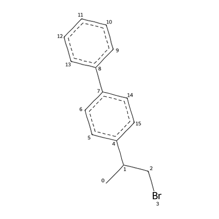 CC(CBr)c1ccc(-c2ccccc2)cc1